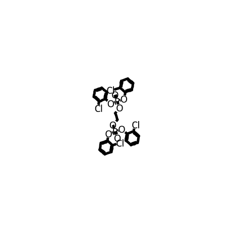 O=P(OCCOP(=O)(Oc1ccccc1Cl)Oc1ccccc1Cl)(Oc1ccccc1Cl)Oc1ccccc1Cl